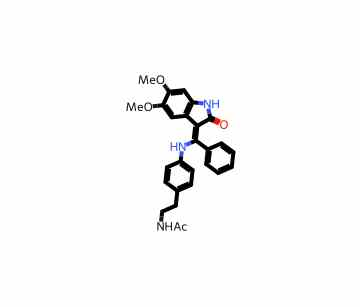 COc1cc2c(cc1OC)C(=C(Nc1ccc(CCNC(C)=O)cc1)c1ccccc1)C(=O)N2